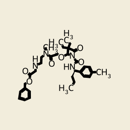 CCC[C@@H](NC(=O)N1C(=O)C(CC)(CC)C1OCC(=O)N(C)CCNCC(=O)OCc1ccccc1)c1ccc(C)cc1